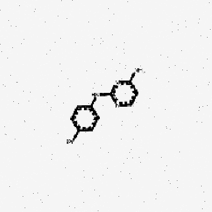 CC(C)c1ccc(Nc2nccc(N)n2)cc1